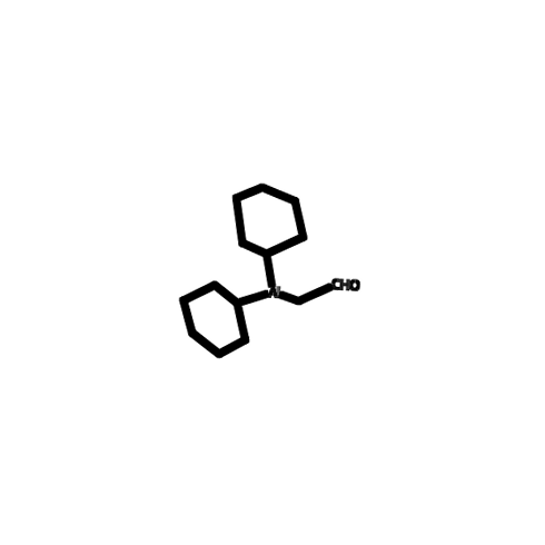 O=C[CH2][Al]([CH]1CCCCC1)[CH]1CCCCC1